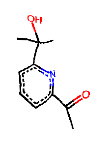 CC(=O)c1cccc(C(C)(C)O)n1